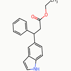 CCOC(=O)CC(c1ccccc1)c1ccc2[nH]ccc2c1